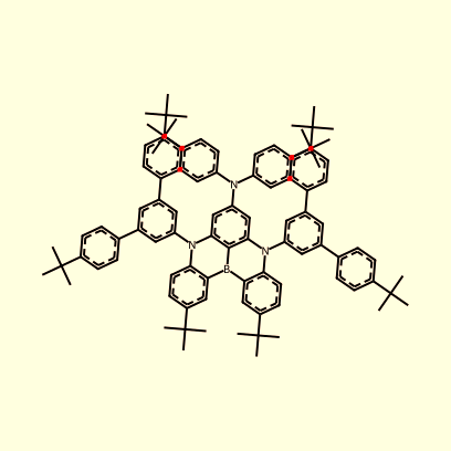 CC(C)(C)c1ccc(-c2cc(-c3ccc(C(C)(C)C)cc3)cc(N3c4ccc(C(C)(C)C)cc4B4c5cc(C(C)(C)C)ccc5N(c5cc(-c6ccc(C(C)(C)C)cc6)cc(-c6ccc(C(C)(C)C)cc6)c5)c5cc(N(c6ccc(C(C)(C)C)cc6)c6ccc(C(C)(C)C)cc6)cc3c54)c2)cc1